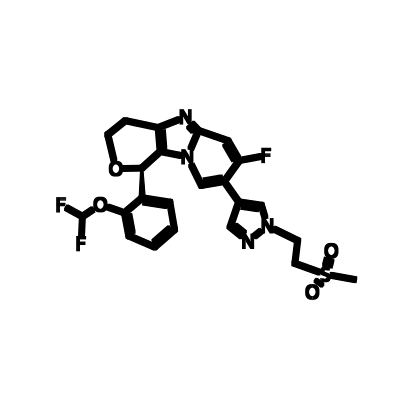 CS(=O)(=O)CCn1cc(-c2cn3c4c(nc3cc2F)CCO[C@@H]4c2ccccc2OC(F)F)cn1